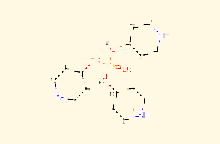 O=P(OC1CCNCC1)(OC1CCNCC1)OC1CCNCC1